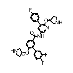 O=C(Nc1cnc(O[C@H]2CCNC2)c(-c2ccc(F)cc2)c1)c1ccc(O[C@H]2CCNC2)c(-c2ccc(F)c(F)c2)c1